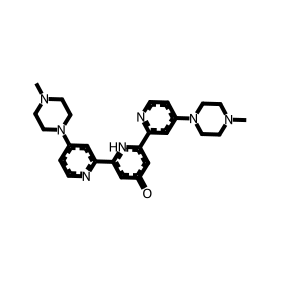 CN1CCN(c2ccnc(-c3cc(=O)cc(-c4cc(N5CCN(C)CC5)ccn4)[nH]3)c2)CC1